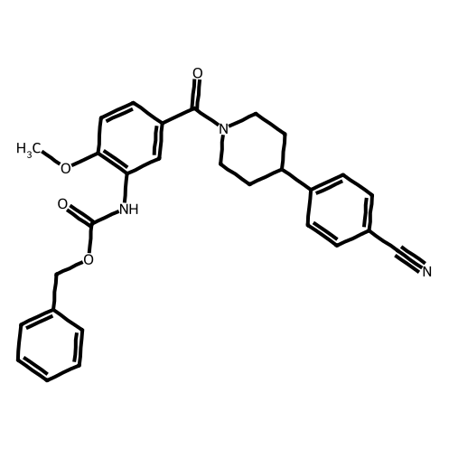 COc1ccc(C(=O)N2CCC(c3ccc(C#N)cc3)CC2)cc1NC(=O)OCc1ccccc1